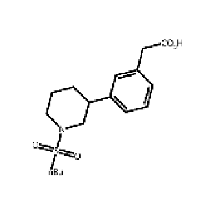 CCCCS(=O)(=O)N1CCCC(c2cccc(CC(=O)O)c2)C1